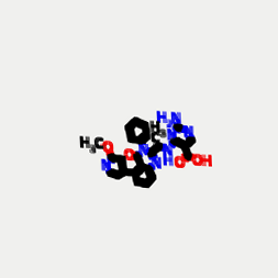 COc1cc(-c2cccc3nc([C@H](C)Nc4nc(N)ncc4C(=O)O)n(-c4ccccc4)c(=O)c23)ccn1